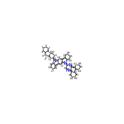 CC1(C)c2ccccc2-c2ccc(-n3c4ccccc4c4cc5c(cc43)c3ccccc3n5-c3cnc4c5ccccc5c5ccccc5c4n3)cc21